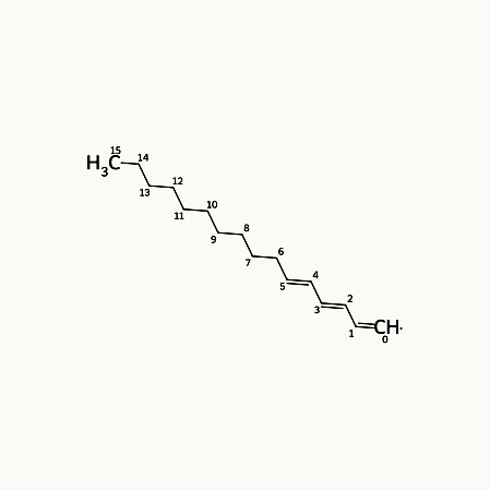 [CH]=CC=CC=CCCCCCCCCCC